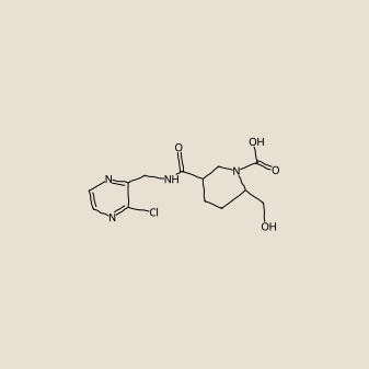 O=C(NCc1nccnc1Cl)C1CCC(CO)N(C(=O)O)C1